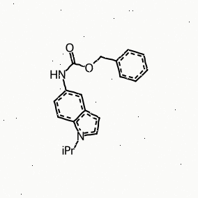 CC(C)n1ccc2cc(NC(=O)OCc3ccccc3)ccc21